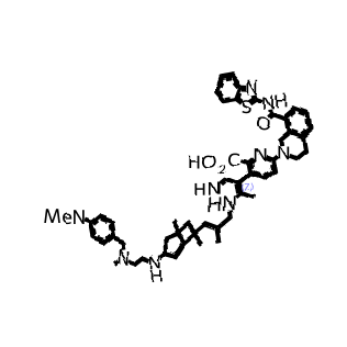 CNc1ccc(CN(C)CCNC2C=C3C(C)(CC(C)CN/C(C)=C(\C=N)c4ccc(N5CCc6cccc(C(=O)Nc7nc8ccccc8s7)c6C5)nc4C(=O)O)CC3(C)C2)cc1